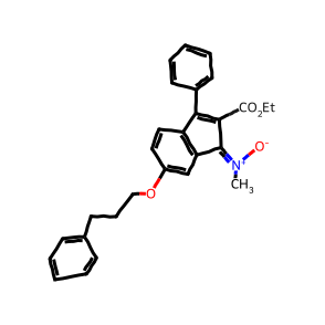 CCOC(=O)C1=C(c2ccccc2)c2ccc(OCCCc3ccccc3)cc2/C1=[N+](\C)[O-]